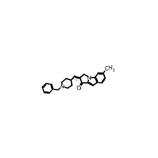 Cc1ccc2cc3n(c2c1)C/C(=C/C1CCN(Cc2ccccc2)CC1)C3=O